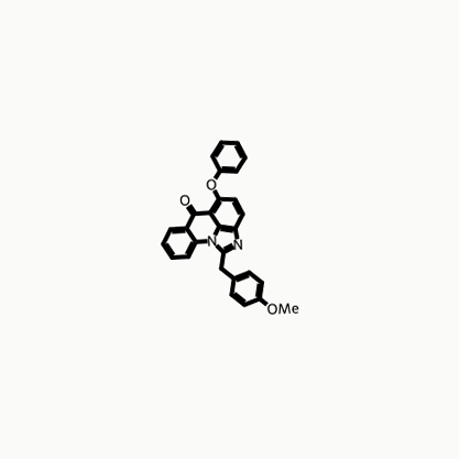 COc1ccc(Cc2nc3ccc(Oc4ccccc4)c4c(=O)c5ccccc5n2c34)cc1